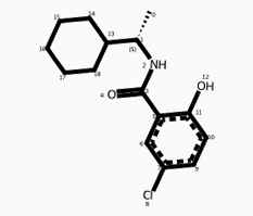 C[C@H](NC(=O)c1cc(Cl)ccc1O)C1CCCCC1